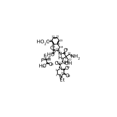 CCN1CCN(C(=O)NCC(CN)(CO)C(=O)N[C@H]2Cc3cccc(C(=O)O)c3OB2O)C(=O)C1=O.O=C(O)C(F)(F)F